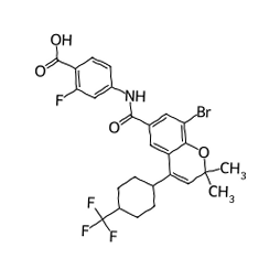 CC1(C)C=C(C2CCC(C(F)(F)F)CC2)c2cc(C(=O)Nc3ccc(C(=O)O)c(F)c3)cc(Br)c2O1